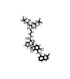 Cc1ccc2cccc(OCc3c(Cl)ccc(S(=O)(=O)N4CCC[C@H]4C(=O)NCCCCN/C(=N\C(=O)OC(C)(C)C)NC(=O)OC(C)(C)C)c3Cl)c2n1